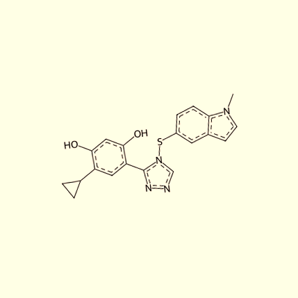 Cn1ccc2cc(Sn3cnnc3-c3cc(C4CC4)c(O)cc3O)ccc21